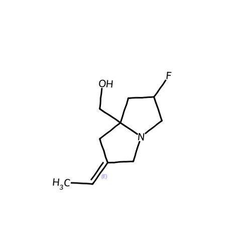 C/C=C1/CN2CC(F)CC2(CO)C1